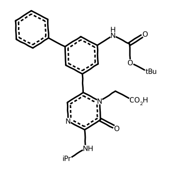 CC(C)Nc1ncc(-c2cc(NC(=O)OC(C)(C)C)cc(-c3ccccc3)c2)n(CC(=O)O)c1=O